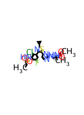 CCCS(=O)(=O)Nc1cc(F)cc(-c2nc(C3CC3)sc2-c2ccnc(NC[C@H](C)NC(=O)OC)n2)c1Cl